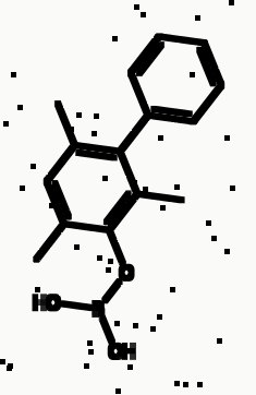 Cc1cc(C)c(-c2ccccc2)c(C)c1OB(O)O